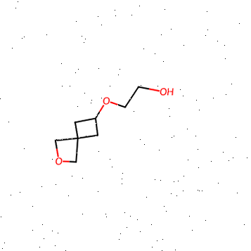 OCCOC1CC2(COC2)C1